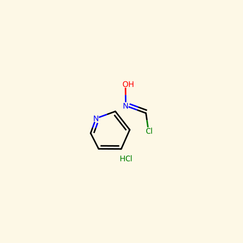 Cl.ON=CCl.c1ccncc1